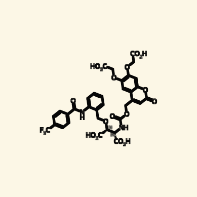 O=C(O)COc1cc2oc(=O)cc(COC(=O)N[C@H](C(=O)O)[C@H](OCc3ccccc3NC(=O)c3ccc(C(F)(F)F)cc3)C(=O)O)c2cc1OCC(=O)O